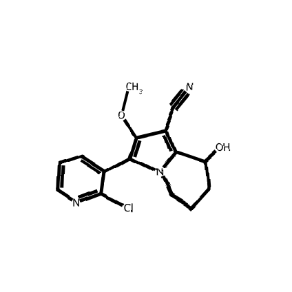 COc1c(C#N)c2n(c1-c1cccnc1Cl)CCCC2O